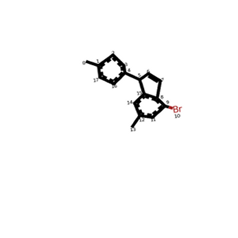 Cc1ccc(C2C=Cc3c(Br)cc(C)cc32)cc1